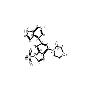 C[C@@H]1COCCN1c1cc(-c2cncc3[nH]ccc23)nc2c1ncn2S(C)(=O)=O